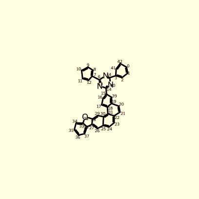 c1ccc(-c2nc(-c3ccccc3)nc(-c3ccc4c(ccc5ccc6cc7c(cc6c54)oc4ccccc47)c3)n2)cc1